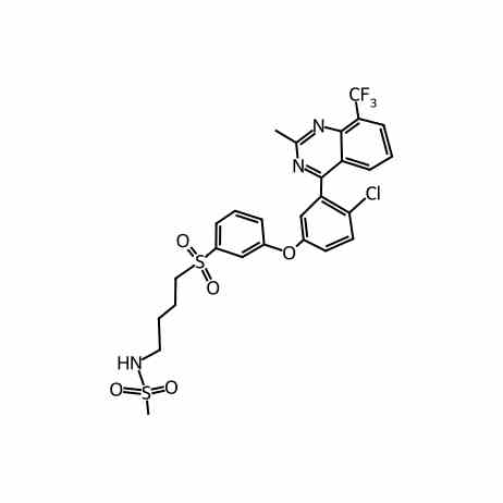 Cc1nc(-c2cc(Oc3cccc(S(=O)(=O)CCCCNS(C)(=O)=O)c3)ccc2Cl)c2cccc(C(F)(F)F)c2n1